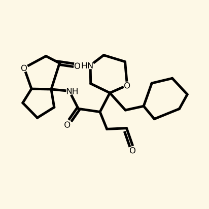 O=CCC(C(=O)NC12CCCC1OCC2=O)C1(CC2CCCCC2)CNCCO1